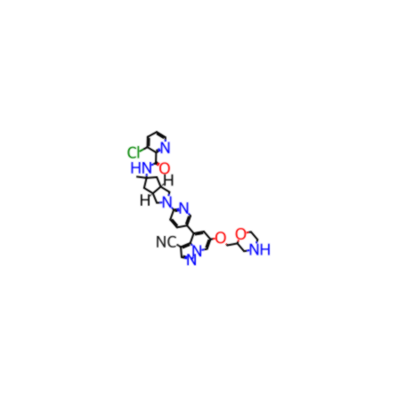 CC1(NC(=O)c2ncccc2Cl)C[C@H]2CN(c3ccc(-c4cc(OCC5CNCCO5)cn5ncc(C#N)c45)cn3)C[C@H]2C1